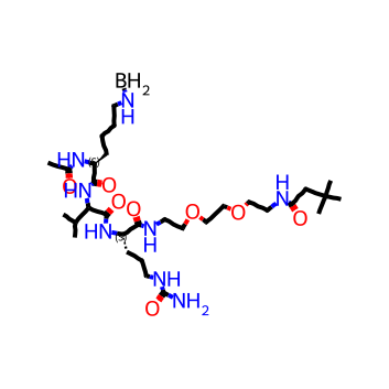 BNCCCC[C@H](NC(C)=O)C(=O)NC(C(=O)N[C@@H](CCCNC(N)=O)C(=O)NCCOCCOCCNC(=O)CC(C)(C)C)C(C)C